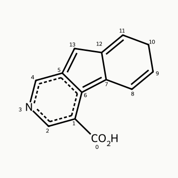 O=C(O)c1cncc2c1=C1C=CCC=C1C=2